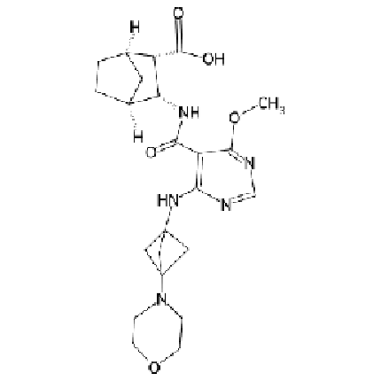 COc1ncnc(NC23CC(N4CCOCC4)(C2)C3)c1C(=O)N[C@@H]1[C@H]2CC[C@H](C2)[C@@H]1C(=O)O